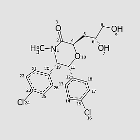 CN1C(=O)[C@@H](C[C@@H](O)CO)O[C@H](c2ccc(Cl)cc2)[C@@H]1c1ccc(Cl)cc1